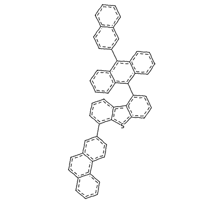 c1ccc2cc(-c3c4ccccc4c(-c4cccc5sc6c(-c7ccc8c(ccc9ccccc98)c7)cccc6c45)c4ccccc34)ccc2c1